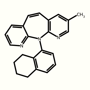 Cc1cnc2c(c1)C=Cc1cccnc1N2c1cccc2c1CCCC2